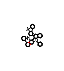 CC1(C)c2ccccc2-c2ccc(N(c3ccccc3-c3ccccc3)c3cccc4c3c3ccc5ccccc5c3n4-c3ccccc3)cc21